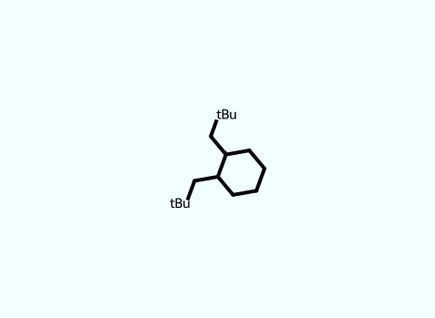 CC(C)(C)C[C]1CCCCC1CC(C)(C)C